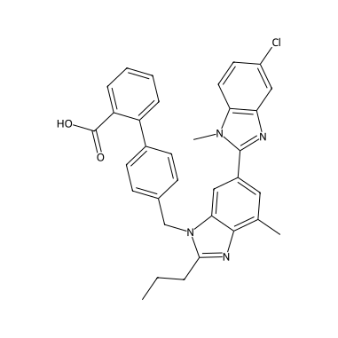 CCCc1nc2c(C)cc(-c3nc4cc(Cl)ccc4n3C)cc2n1Cc1ccc(-c2ccccc2C(=O)O)cc1